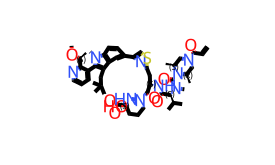 C=CC(=O)N1C[C@@H](C)N(C(=O)N(C)[C@H](C(=O)N[C@H]2Cc3nc(cs3)-c3ccc4c(c3)c(c(-c3cccnc3[C@H](C)OC)n4C)CC(C)(C)COC(=O)[C@@]3(O)CCCN(N3)C2=O)C(C)C)[C@@H](C)C1